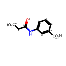 O=C(O)CC(=O)Nc1cccc(C(=O)O)c1